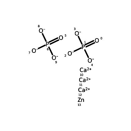 O=P([O-])([O-])[O-].O=P([O-])([O-])[O-].[Ca+2].[Ca+2].[Ca+2].[Zn]